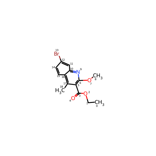 CCOC(=O)c1c(OC)nc2cc(Br)ccc2c1C